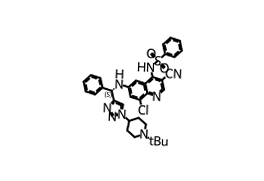 CC(C)(C)N1CCC(n2cc([C@@H](Nc3cc(Cl)c4ncc(C#N)c(NS(=O)(=O)c5ccccc5)c4c3)c3ccccc3)nn2)CC1